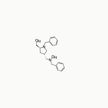 OC[C@@H]1C[C@@H](CN(O)Cc2ccccc2)CN1Cc1ccccc1